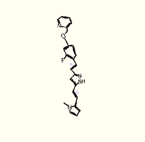 Cn1cccc1/C=C/c1cc(/C=C/c2ccc(OCc3ccccn3)cc2F)n[nH]1